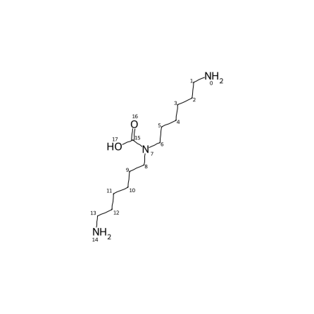 NCCCCCCN(CCCCCCN)C(=O)O